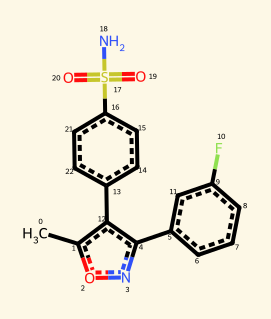 Cc1onc(-c2cccc(F)c2)c1-c1ccc(S(N)(=O)=O)cc1